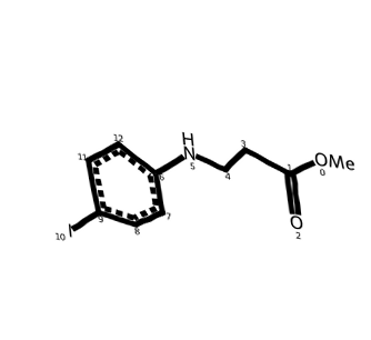 COC(=O)CCNc1ccc(I)cc1